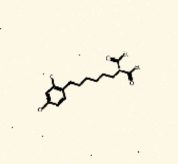 CCC(=O)C(CCCCCCc1ccc(Cl)cc1Cl)C(=O)CC